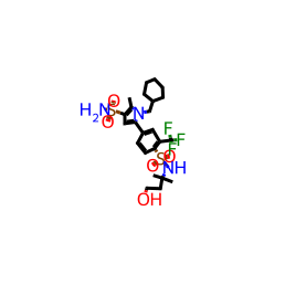 Cc1c(S(N)(=O)=O)cc(-c2ccc(S(=O)(=O)NC(C)(C)CCO)c(C(F)(F)F)c2)n1CC1CCCCC1